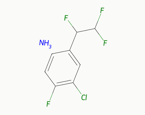 Fc1ccc(C(F)C(F)F)cc1Cl.N